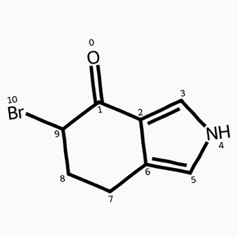 O=C1c2c[nH]cc2CCC1Br